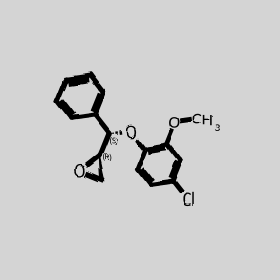 COc1cc(Cl)ccc1O[C@@H](c1ccccc1)[C@H]1CO1